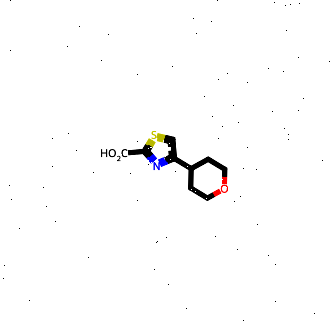 O=C(O)c1nc(C2CCOCC2)cs1